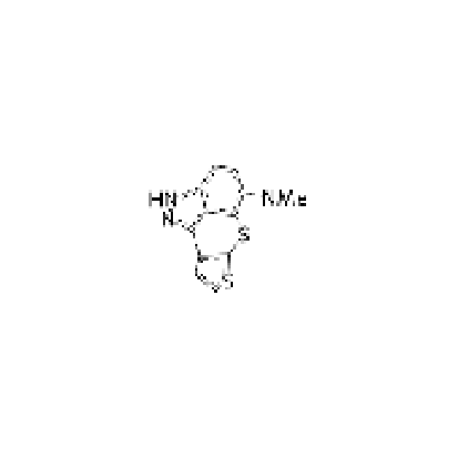 CNc1ccc2[nH]nc3c2c1Sc1sccc1-3